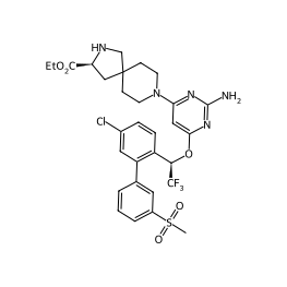 CCOC(=O)[C@@H]1CC2(CCN(c3cc(O[C@H](c4ccc(Cl)cc4-c4cccc(S(C)(=O)=O)c4)C(F)(F)F)nc(N)n3)CC2)CN1